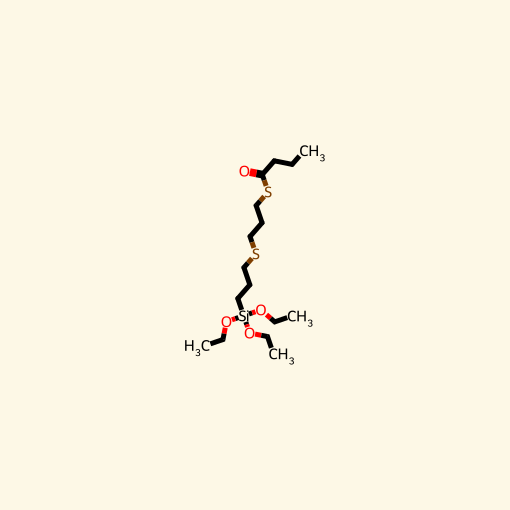 CCCC(=O)SCCCSCCC[Si](OCC)(OCC)OCC